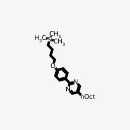 CCCCCCCCc1cnc(-c2ccc(OCCCC[Si](C)(C)C)cc2)nc1